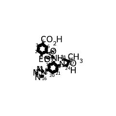 CCc1ccc(C(=O)O)cc1S(=O)(=O)Nc1cc(-n2cnnn2)ccc1N1CC(C)(O)C1